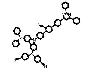 N#Cc1ccc(N(c2ccc(C#N)cc2)c2ccc3c(c2)c2cc(N(c4ccccc4)c4ccccc4)ccc2n3-c2ccc(-c3ccc(-c4ccc(-c5cc(-c6ccccc6)nc(-c6ccccc6)n5)cc4)cc3C#N)cc2)cc1